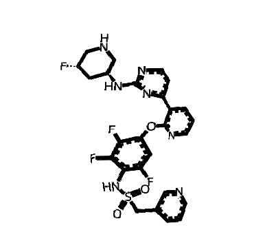 O=S(=O)(Cc1cccnc1)Nc1c(F)cc(Oc2ncccc2-c2ccnc(N[C@@H]3CNC[C@@H](F)C3)n2)c(F)c1F